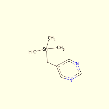 [CH3][Sn]([CH3])([CH3])[CH2]c1cncnc1